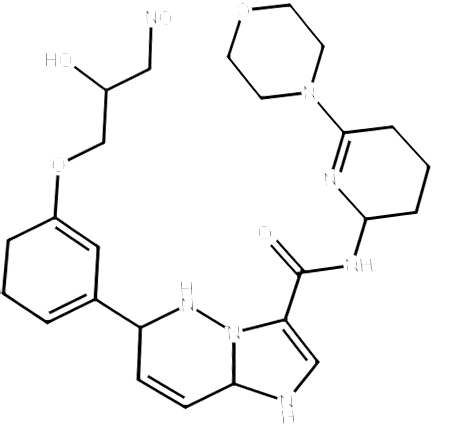 O=NCC(O)COC1=CC(C2C=CC3NC=C(C(=O)NC4CCCC(N5CCOCC5)=N4)N3N2)=CCC1